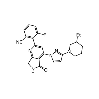 CCC1CCCN(c2ccn(-c3cc(-c4c(F)cccc4C#N)nc4c3C(=O)NC4)n2)C1